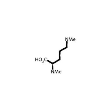 CNCCC[C@@H](NC)C(=O)O